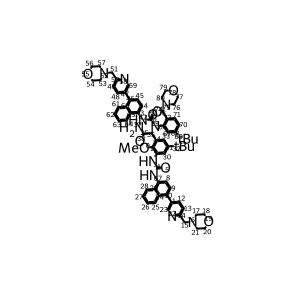 COc1c(NC(=O)Nc2ccc(-c3ccc(CN4CCOCC4)nc3)c3ccccc23)cc(C(C)(C)C)cc1C(C(N)=O)N(C(=O)Nc1ccc(-c2ccc(CN3CCOCC3)nc2)c2ccccc12)c1cc(C(C)(C)C)ccc1C(=O)N1CCOCC1